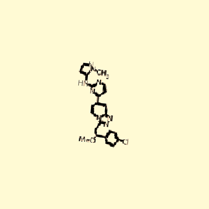 CO[C@H](Cc1nnc2cc(-c3ccnc(Nc4ccnn4C)n3)ccn12)c1ccc(Cl)cc1